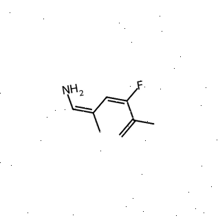 C=C(C)/C(F)=C\C(C)=C/N